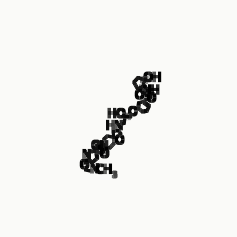 CN1CCOc2ncc(S(=O)(=O)N3CCC4(CC3)CC(NC[C@H](O)COc3cccc(S(=O)(=O)N[C@H]5CCC[C@@H]5O)c3)CO4)cc21